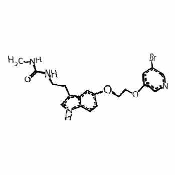 CNC(=O)NCCc1c[nH]c2ccc(OCCOc3cncc(Br)c3)cc12